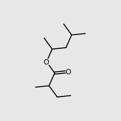 CCC(C)C(=O)OC(C)CC(C)C